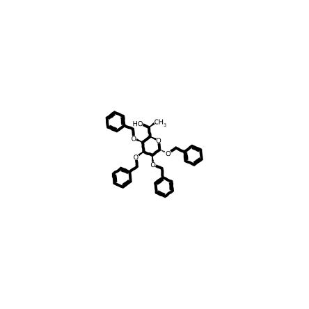 C[C@H](O)[C@H]1O[C@H](OCc2ccccc2)[C@@H](OCc2ccccc2)[C@@H](OCc2ccccc2)[C@H]1OCc1ccccc1